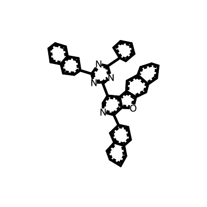 c1ccc(-c2nc(-c3ccc4ccccc4c3)nc(-c3cnc(-c4ccc5ccccc5c4)c4oc5cc6ccccc6cc5c34)n2)cc1